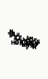 CO[C@@H]1[C@H](N(C)c2ncc(-c3ccc(-n4ccnc4)cc3O)nn2)C[C@H]2N[C@@H]1CC2(F)F